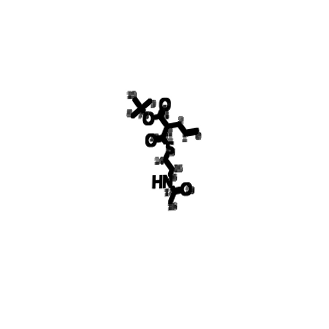 C=CCC(C(=O)OC(C)(C)C)C(=O)SCCNC(C)=O